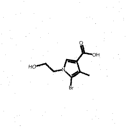 Cc1c(C(=O)O)cn(CCO)c1Br